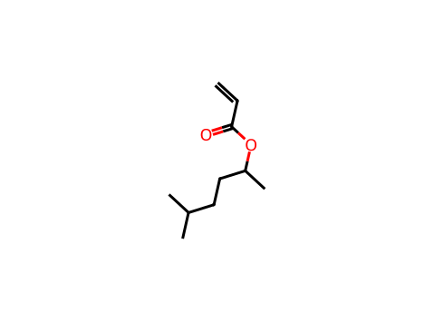 C=CC(=O)OC(C)CCC(C)C